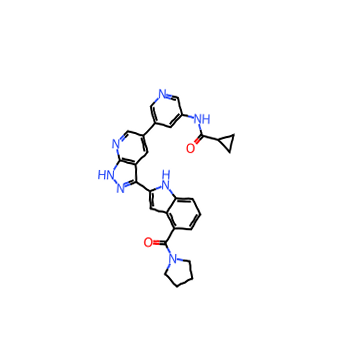 O=C(Nc1cncc(-c2cnc3[nH]nc(-c4cc5c(C(=O)N6CCCC6)cccc5[nH]4)c3c2)c1)C1CC1